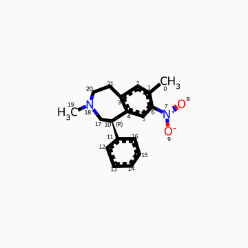 Cc1cc2c(cc1[N+](=O)[O-])[C@@H](c1ccccc1)CN(C)CC2